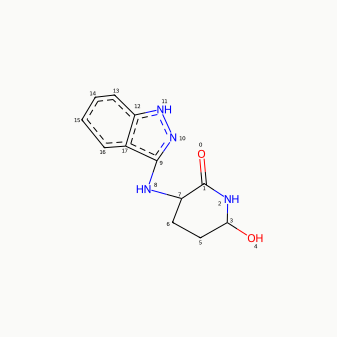 O=C1NC(O)CCC1Nc1n[nH]c2ccccc12